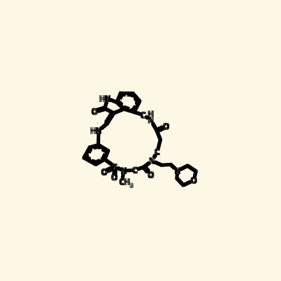 CN1CC(=O)N(CCN2CCOCC2)CCC(=O)NCc2cccc3c2/C(=C/Nc2cccc(c2)S1(=O)=O)C(=O)N3